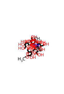 CCO[C@@H]1OC(CO)[C@@H](O[C@H](OC(CO)[C@@H](CO)O[C@H]2OC(CO)[C@H](O)[C@H](O[C@@H]3OC(CO)[C@H](O)C(O[C@@H]4OC(CO)[C@H](O)C(O)[C@@H]4O[C@@H]4OC(C)[C@@H](O)C(O)[C@@H]4O)[C@@H]3NC(C)=O)C2O)[C@H](C)O)C(O)[C@@H]1O